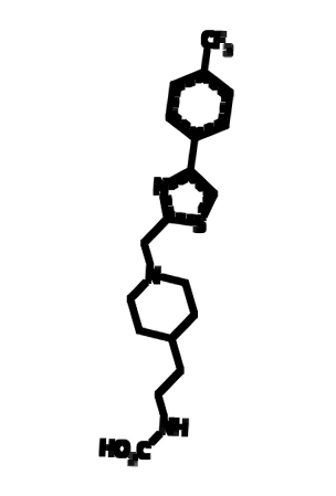 O=C(O)NCCC1CCN(Cc2nc(-c3ccc(C(F)(F)F)cc3)cs2)CC1